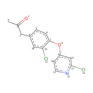 CC(=O)Cc1ccc(Oc2ccnc(Cl)c2)c(Cl)c1